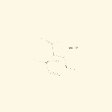 CC(C)C12C=CC(C)(C=C1)C1C(=O)OC(=O)C12